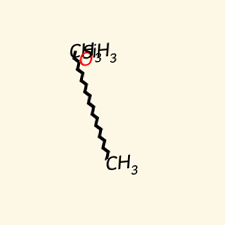 CCCCCCCCCCCCCCCCCCC(CC)O[SiH3]